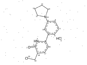 Cl.O=c1[nH]c(-c2cccc(N3CCCC3)c2)ccc1CCl